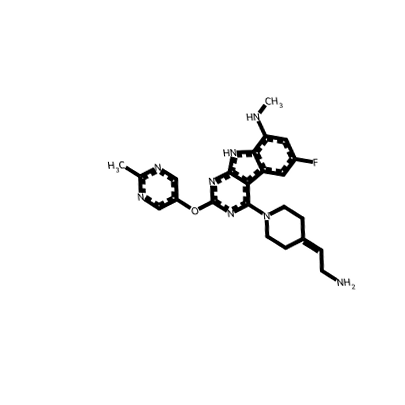 CNc1cc(F)cc2c1[nH]c1nc(Oc3cnc(C)nc3)nc(N3CCC(=CCN)CC3)c12